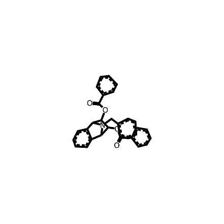 O=C(OC1C(OC(=O)c2ccccc2)C2c3ccccc3C1N2Cc1ccccc1)c1ccccc1